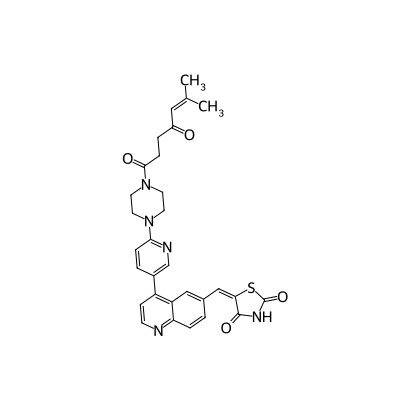 CC(C)=CC(=O)CCC(=O)N1CCN(c2ccc(-c3ccnc4ccc(/C=C5/SC(=O)NC5=O)cc34)cn2)CC1